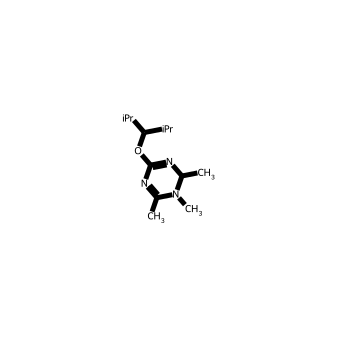 CC1=NC(OC(C(C)C)C(C)C)=NC(C)N1C